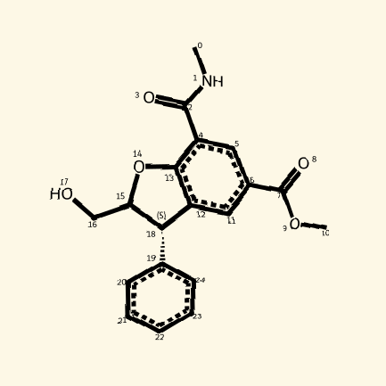 CNC(=O)c1cc(C(=O)OC)cc2c1OC(CO)[C@H]2c1ccccc1